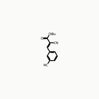 CC(C)COC(=O)/C(C#N)=C/c1cccc(C#N)c1